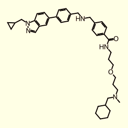 CN(CCCOCCCNC(=O)c1ccc(CNCc2ccc(-c3ccc4c(cnn4CC4CC4)c3)cc2)cc1)CC1CCCCC1